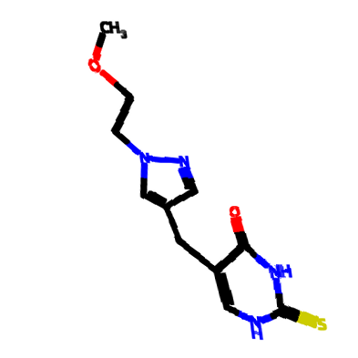 COCCn1cc(Cc2c[nH]c(=S)[nH]c2=O)cn1